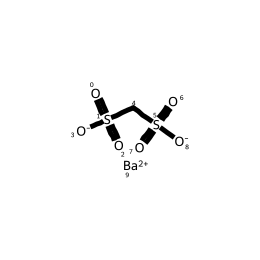 O=S(=O)([O-])CS(=O)(=O)[O-].[Ba+2]